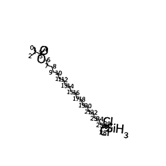 C=C(C)C(=O)OCCCCCCCCCCCCCCCCCCCCC([SiH3])(Cl)Cl